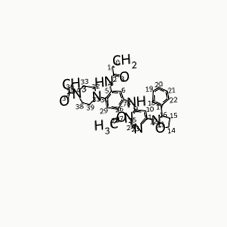 C=CC(=O)Nc1cc(Nc2cc(N3OCCC3c3ccccc3)ncn2)c(OC)cc1N1CCN(C(C)=O)CC1